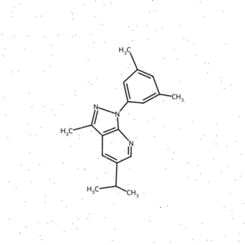 Cc1cc(C)cc(-n2nc(C)c3cc(C(C)C)cnc32)c1